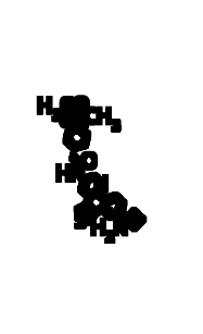 CN([C@H]1CC[C@H](CC(=O)Nc2cnc3c4ccc(C5(N)CCC5)cc4c4cscc4c3c2)CC1)S(C)(=O)=O